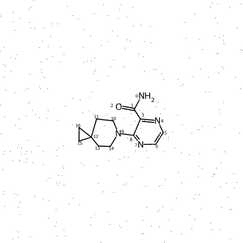 NC(=O)c1nccnc1N1CCC2(CC1)CC2